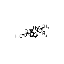 CCOC(=O)N1CC2CCN(C(=O)OC(C)(C)C)C2C12CC2